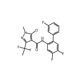 Cn1nc(C(F)(F)F)c(C(=O)Nc2cc(F)c(F)cc2-c2cccc(F)c2)c1Cl